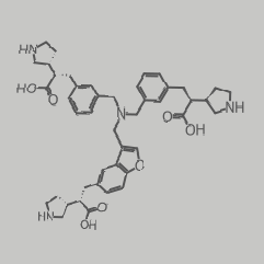 O=C(O)[C@@H](Cc1cccc(CN(Cc2cccc(C[C@H](C(=O)O)[C@H]3CCNC3)c2)Cc2coc3ccc(C[C@H](C(=O)O)[C@H]4CCNC4)cc23)c1)[C@H]1CCNC1